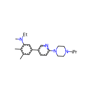 CCN(C)c1cc(-c2ccc(N3CCN(C(C)C)CC3)nc2)cc(C)c1C